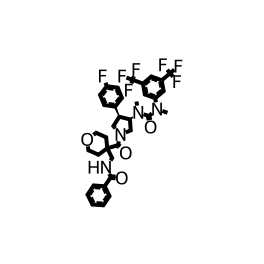 CN(C(=O)N(C)[C@@H]1CN(C(=O)C2(CNC(=O)c3ccccc3)CCOCC2)C[C@H]1c1ccc(F)cc1)c1cc(C(F)(F)F)cc(C(F)(F)F)c1